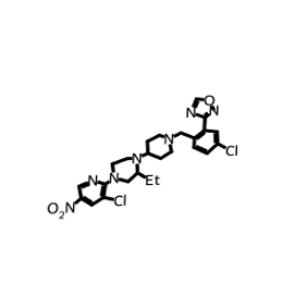 CCC1CN(c2ncc([N+](=O)[O-])cc2Cl)CCN1C1CCN(Cc2ccc(Cl)cc2-c2ncon2)CC1